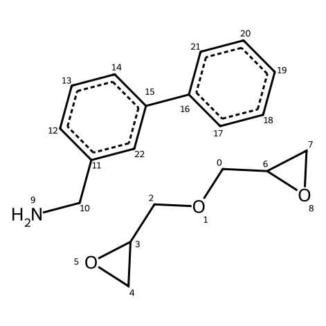 C(OCC1CO1)C1CO1.NCc1cccc(-c2ccccc2)c1